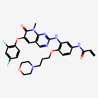 C=CC(=O)Nc1ccc(OCCCN2CCOCC2)c(Nc2ncc3cc(Oc4ccc(F)cc4F)c(=O)n(C)c3n2)c1